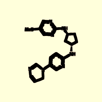 CSc1cnc(N[C@H]2CC[C@H](Nc3ccc(N4C=NC=CC4)cn3)C2)nc1